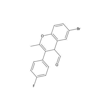 CC1=C(c2ccc(F)cc2)C(C=O)c2cc(Br)ccc2O1